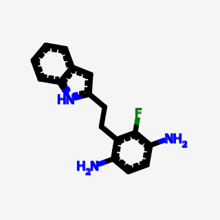 Nc1ccc(N)c(CCc2cc3ccccc3[nH]2)c1F